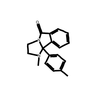 Cc1ccc(C23c4ccccc4C(=O)N2CCN3C)cc1